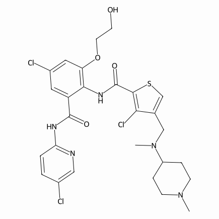 CN1CCC(N(C)Cc2csc(C(=O)Nc3c(OCCO)cc(Cl)cc3C(=O)Nc3ccc(Cl)cn3)c2Cl)CC1